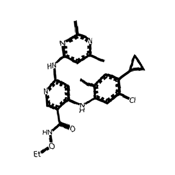 CCONC(=O)c1cnc(Nc2cc(C)nc(C)n2)cc1Nc1cc(Cl)c(C2CC2)cc1C